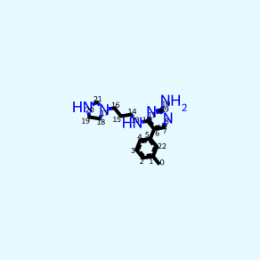 Cc1cccc(-c2cnc(N)nc2NCCCN2CCNC2)c1